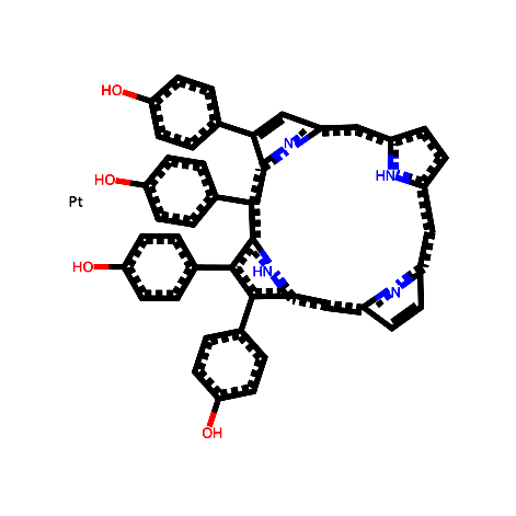 Oc1ccc(C2=Cc3cc4ccc(cc5nc(cc6[nH]c(c(-c7ccc(O)cc7)c2n3)c(-c2ccc(O)cc2)c6-c2ccc(O)cc2)C=C5)[nH]4)cc1.[Pt]